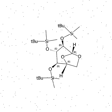 CC(C)(C)[Si](C)(C)O[C@@H]1[C@@H](O[Si](C)(C)C(C)(C)C)[C@@H]2OC[C@@H](O2)[C@H]1O[Si](C)(C)C(C)(C)C